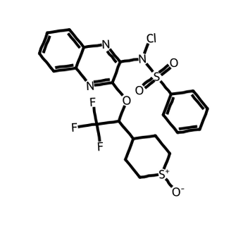 O=S(=O)(c1ccccc1)N(Cl)c1nc2ccccc2nc1OC(C1CC[S+]([O-])CC1)C(F)(F)F